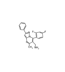 Cc1nc2cc(-c3ccccc3)nn2c(-c2ccc(F)cc2F)c1CN